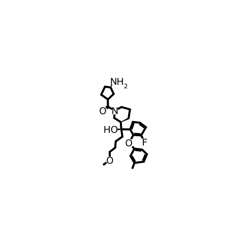 COCCCC[C@@](O)(c1cccc(F)c1Oc1cccc(C)c1)[C@@H]1CCCN(C(=O)C2CC[C@H](N)C2)C1